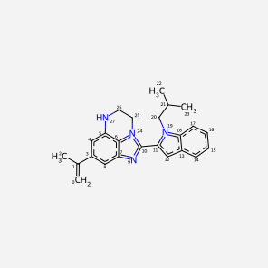 C=C(C)c1cc2c3c(c1)nc(-c1cc4ccccc4n1CC(C)C)n3CCN2